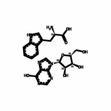 N[C@@H](Cc1c[nH]c2ccccc12)C(=O)O.OC[C@H]1O[C@@H](n2cnc3c(O)ncnc32)[C@H](O)[C@@H]1O